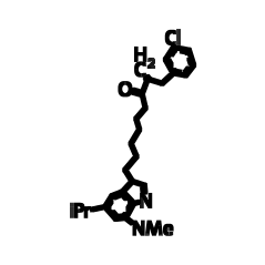 C=C(Cc1cccc(Cl)c1)C(=O)CCCCCCC1C=Nc2c(NC)cc(C(C)C)cc21